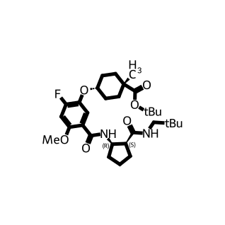 COc1cc(F)c(O[C@H]2CC[C@@](C)(C(=O)OC(C)(C)C)CC2)cc1C(=O)N[C@@H]1CCC[C@@H]1C(=O)NCC(C)(C)C